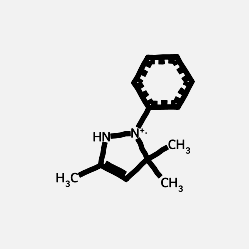 CC1=CC(C)(C)[N+](c2ccccc2)N1